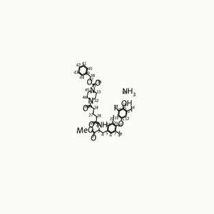 COC(=O)C(Cc1cc(I)c(Oc2cc(I)c(O)c(I)c2)c(I)c1)NC(=O)CCCC(=O)N1CCN(C(=O)OCc2ccccc2)CC1.N